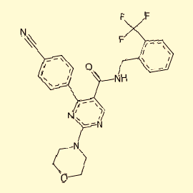 N#Cc1ccc(-c2nc(N3CCOCC3)ncc2C(=O)NCc2ccccc2C(F)(F)F)cc1